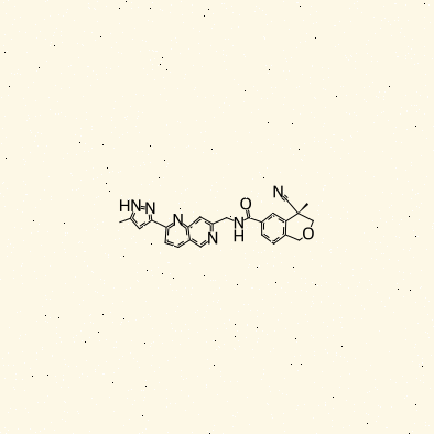 Cc1cc(-c2ccc3cnc(CNC(=O)c4ccc5c(c4)[C@](C)(C#N)COC5)cc3n2)n[nH]1